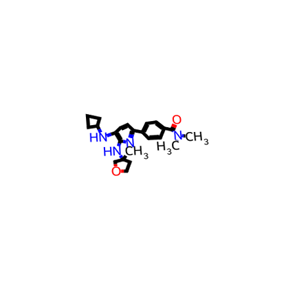 CN(C)C(=O)c1ccc(-c2ccc(NC3CCC3)c(NC3(C)CCOC3)n2)cc1